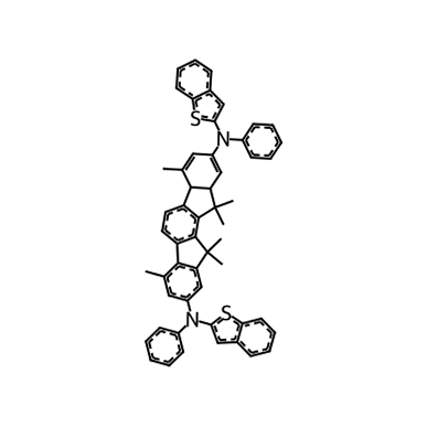 CC1=CC(N(c2ccccc2)c2cc3ccccc3s2)=CC2C1c1ccc3c(c1C2(C)C)C(C)(C)c1cc(N(c2ccccc2)c2cc4ccccc4s2)cc(C)c1-3